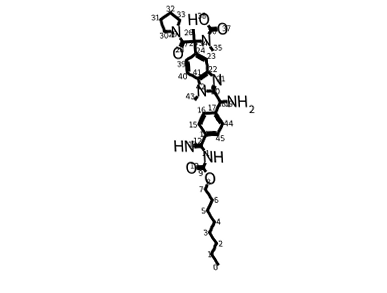 CCCCCCCCOC(=O)NC(=N)c1ccc(C(N)c2nc3cc(C(C)(C(=O)N4CCCC4)N(C)C(=O)O)ccc3n2C)cc1